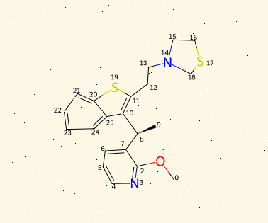 COc1ncccc1[C@H](C)c1c(CCN2CCSC2)sc2ccccc12